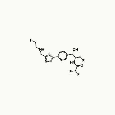 O=C(N[C@H](CF)[C@@H](O)c1ccc(-c2cnc(CNCCF)s2)cc1)C(F)F